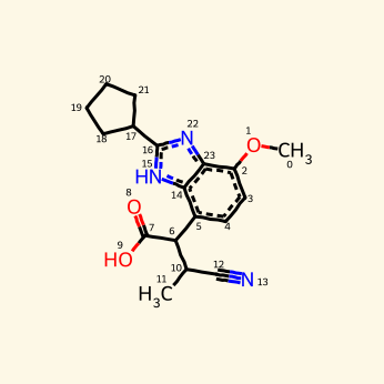 COc1ccc(C(C(=O)O)C(C)C#N)c2[nH]c(C3CCCC3)nc12